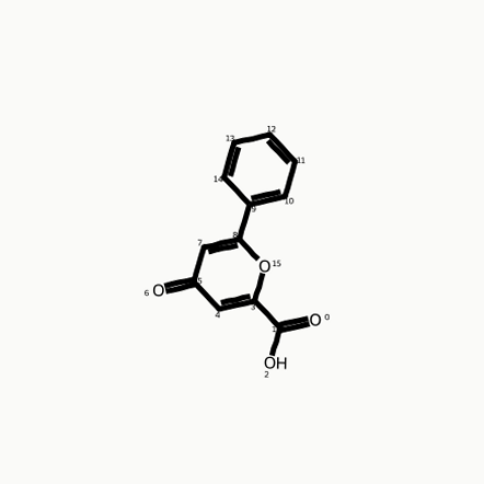 O=C(O)c1cc(=O)cc(-c2ccccc2)o1